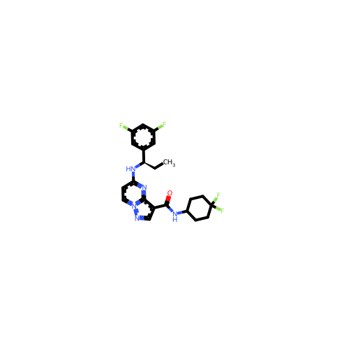 CC[C@@H](Nc1ccn2ncc(C(=O)NC3CCC(F)(F)CC3)c2n1)c1cc(F)cc(F)c1